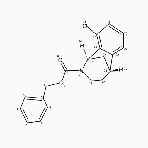 O=C(OCc1ccccc1)N1CC[C@@H]2C[C@@H]1c1c(Cl)cccc12